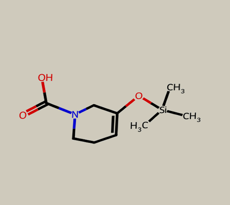 C[Si](C)(C)OC1=CCCN(C(=O)O)C1